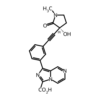 CN1CC[C@@](O)(C#Cc2cccc(-c3nc(C(=O)O)n4ccncc34)c2)C1=O